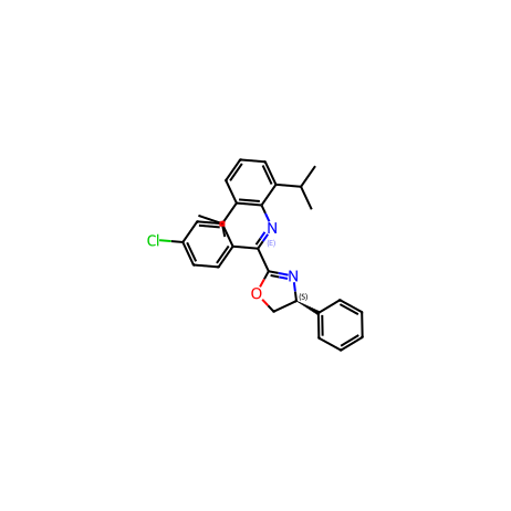 CC(C)c1cccc(C(C)C)c1/N=C(/C1=N[C@@H](c2ccccc2)CO1)c1ccc(Cl)cc1